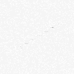 CCCCCCCCC=CCCCCCCCCN(C)CCCCCCCCCC